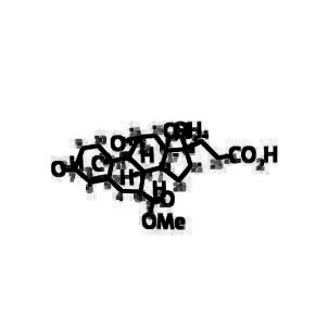 COC(=O)[C@H]1CC2=CC(=O)CC[C@]2(C)[C@@]23O[C@@H]2C[C@@]2(C)[C@@H](CC[C@@]2(O)CCC(=O)O)[C@H]13